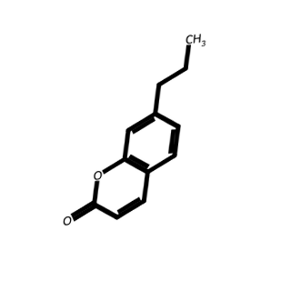 CCCc1ccc2ccc(=O)oc2c1